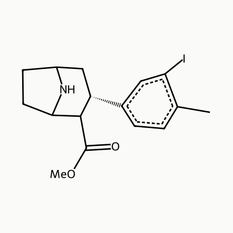 COC(=O)C1C2CCC(C[C@@H]1c1ccc(C)c(I)c1)N2